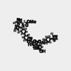 COC(=O)C[C@@H]1N=C(c2ccc(-c3ccc4oc(C(=O)N[C@H](C(=O)N5C[C@H](O)C[C@H]5C(=O)NCc5ccc(-c6scnc6C)cc5)C(C)(C)C)nc4c3)cc2)c2c(sc(C)c2C)-n2c(C)nnc21